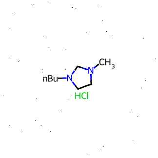 CCCCN1CCN(C)C1.Cl